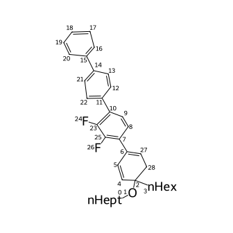 CCCCCCCOC1(CCCCCC)C=CC(c2ccc(-c3ccc(-c4ccccc4)cc3)c(F)c2F)=CC1